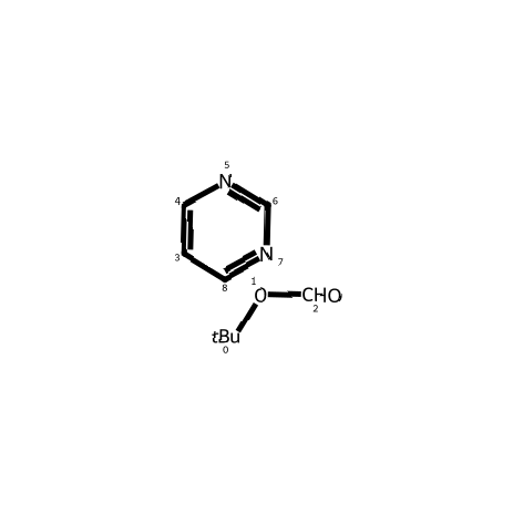 CC(C)(C)OC=O.c1cncnc1